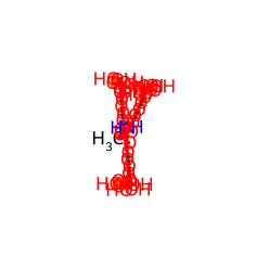 CC(=O)CC(CCC(=O)CCCOCCOCCOCCOCCOC1OC(COP(=O)(O)O)C(O)C(O)C1O)(CCC(=O)NCCOCCOCCOCCOCCOC1OC(COP(=O)(O)O)C(O)C(O)C1O)CCC(=O)NCCOCCOCCOCCOCCOC1OC(COP(=O)(O)O)C(O)C(O)C1O